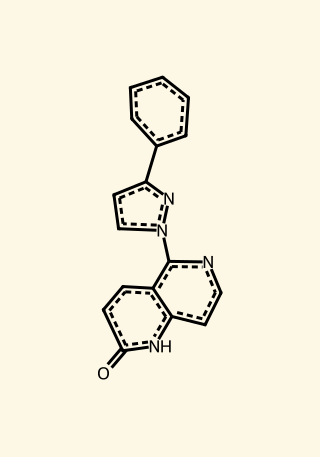 O=c1ccc2c(-n3ccc(-c4ccccc4)n3)nccc2[nH]1